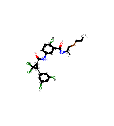 C[C@H](CSCCC(F)(F)F)NC(=O)c1cc(NC(=O)[C@@H]2[C@@H](c3cc(Cl)cc(Cl)c3)C2(Cl)Cl)ccc1Cl